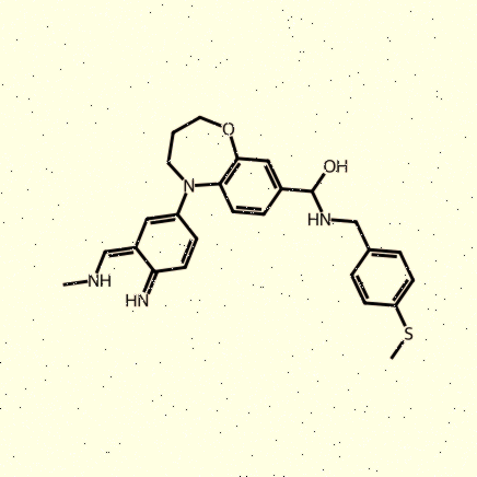 CN/C=C1/C=C(N2CCCOc3cc(C(O)NCc4ccc(SC)cc4)ccc32)C=CC1=N